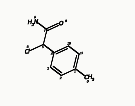 Cc1ccc(C(Cl)C(N)=O)cc1